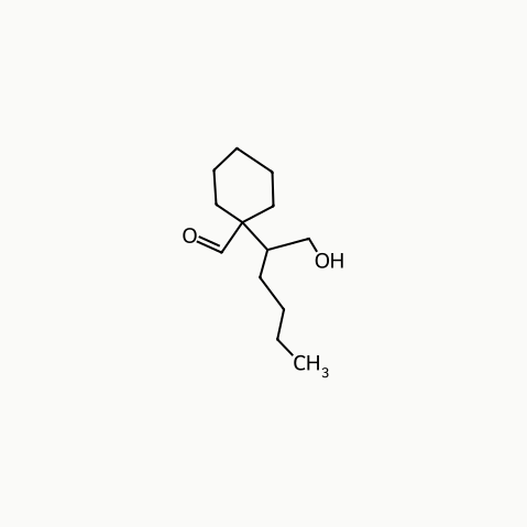 CCCCC(CO)C1(C=O)CCCCC1